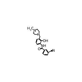 CN1CCN(Cc2cccc(NC(=O)c3cccc(C#N)c3)c2O)CC1